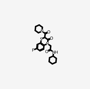 O=C(CN1C(=O)C(C(=O)N2CCCCC2)Sc2cc(F)ccc21)NC1CCCCC1